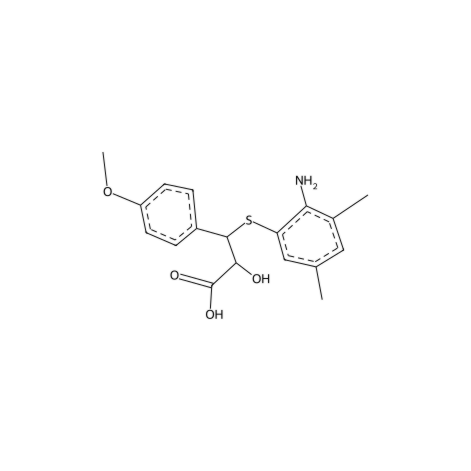 COc1ccc(C(Sc2cc(C)cc(C)c2N)C(O)C(=O)O)cc1